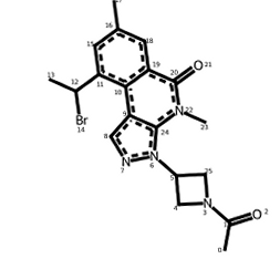 CC(=O)N1CC(n2ncc3c4c(C(C)Br)cc(C)cc4c(=O)n(C)c32)C1